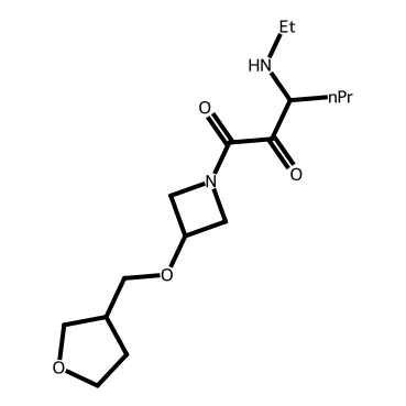 CCCC(NCC)C(=O)C(=O)N1CC(OCC2CCOC2)C1